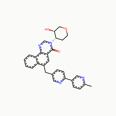 Cc1ccc(-c2ccc(Cc3cc4c(=O)n([C@H]5CCOC[C@@H]5O)cnc4c4ccccc34)cn2)cn1